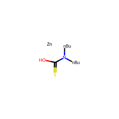 CCCCN(CCCC)C(O)=S.[Zn]